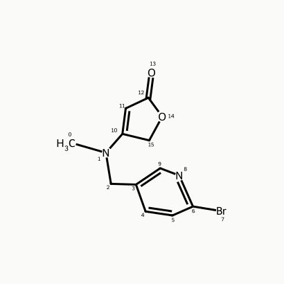 CN(Cc1ccc(Br)nc1)C1=CC(=O)OC1